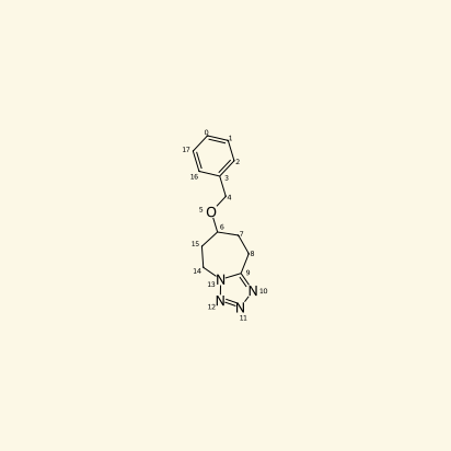 c1ccc(COC2CCc3nnnn3CC2)cc1